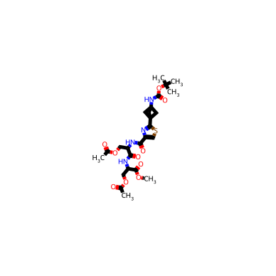 COC(=O)C(COC(C)=O)NC(=O)C(COC(C)=O)NC(=O)c1csc(C23CC(NC(=O)OC(C)(C)C)(C2)C3)n1